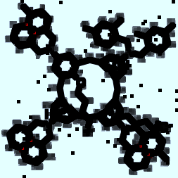 Cc1ccc(CN(Cc2ccccc2)c2cc3c(OCCCCBr)c(c2)Cc2cc(N(Cc4ccc(C)cc4C)Cc4ccc(C)cc4C)cc(c2O)Cc2cc(N(Cc4ccccc4)Cc4ccc(C)cc4C)cc(c2OCCCCBr)Cc2cc(N(Cc4ccccc4)Cc4ccccc4)cc(c2O)C3)c(C)c1